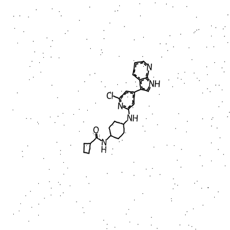 O=C(NC1CCC(Nc2cc(-c3c[nH]c4ncccc34)cc(Cl)n2)CC1)C1CCC1